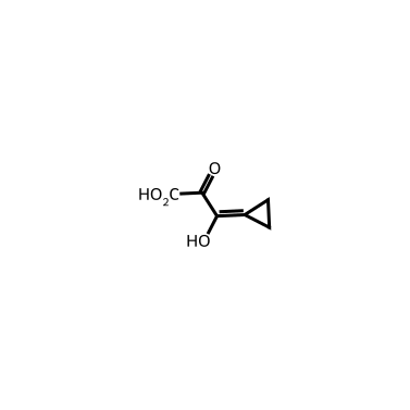 O=C(O)C(=O)C(O)=C1CC1